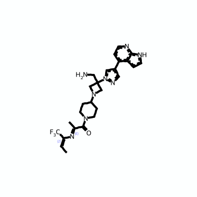 C/C=C(\N=C(/C)C(=O)N1CCC(N2CC(CN)(n3cc(-c4ccnc5[nH]ccc45)cn3)C2)CC1)C(F)(F)F